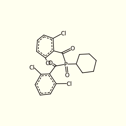 O=C(c1c(Cl)cccc1Cl)P(=O)(C(=O)c1c(Cl)cccc1Cl)C1CCCCC1